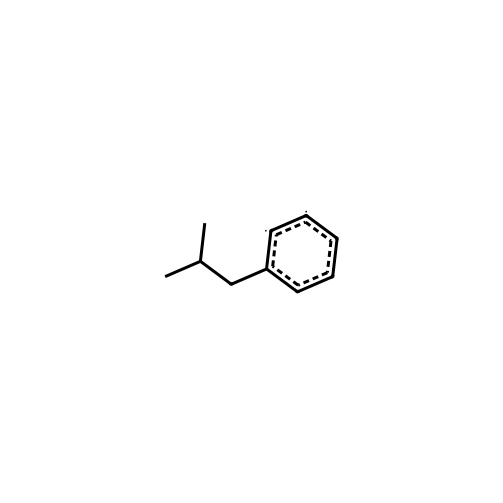 CC(C)Cc1[c][c]ccc1